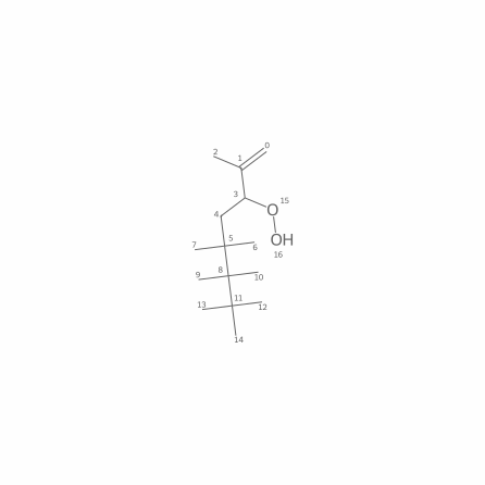 C=C(C)C(CC(C)(C)C(C)(C)C(C)(C)C)OO